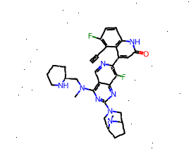 C#Cc1c(F)ccc2[nH]c(=O)cc(-c3ncc4c(N(C)C[C@@H]5CCCCN5)nc(N5CC6CCC(C5)N6C)nc4c3F)c12